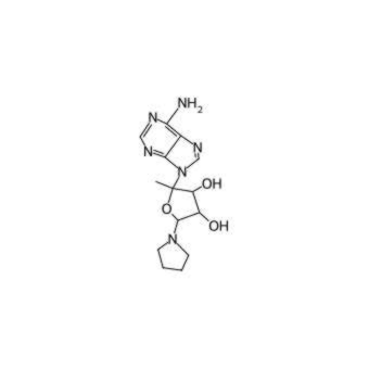 CC1(n2cnc3c(N)ncnc32)OC(N2CCCC2)C(O)C1O